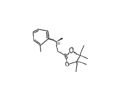 Cc1ccccc1[C@@H](C)CB1OC(C)(C)C(C)(C)O1